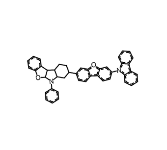 c1ccc(N2C3CC(c4ccc5c(c4)oc4cc(-n6c7ccccc7c7ccccc76)ccc45)CCC3C3c4ccccc4OC32)cc1